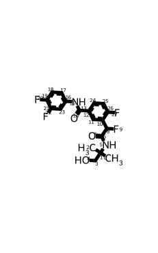 CC(C)(CO)NC(=O)C(F)c1cc(C(=O)Nc2ccc(F)c(F)c2)ccc1F